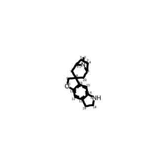 C[N+]1(C)C2CCC1CC1(COc3cc4c(cc31)NCC4)C2